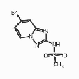 CS(=O)(=O)Nc1nc2cc(Br)ccn2n1